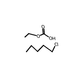 CCCCCCl.CCOC(=O)O